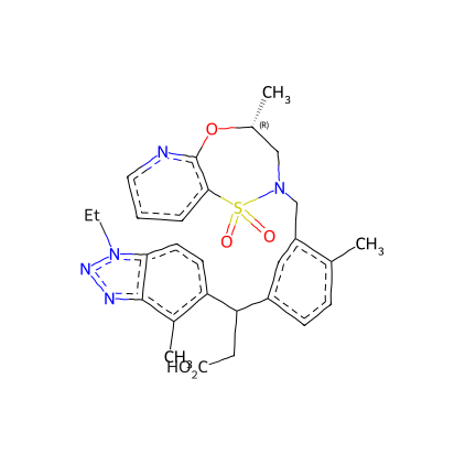 CCn1nnc2c(C)c(C(CC(=O)O)c3ccc(C)c(CN4C[C@@H](C)Oc5ncccc5S4(=O)=O)c3)ccc21